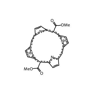 COC(=O)c1c2nc(cc3ccc([nH]3)c(C(=O)OC)c3nc(cc4ccc1[nH]4)C=C3)C=C2